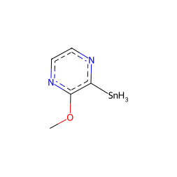 COc1nccn[c]1[SnH3]